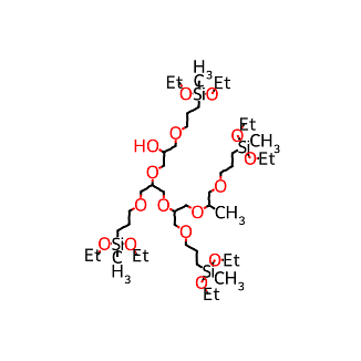 CCO[Si](C)(CCCOCC(O)COC(COCCC[Si](C)(OCC)OCC)COC(COCCC[Si](C)(OCC)OCC)COC(C)COCCC[Si](C)(OCC)OCC)OCC